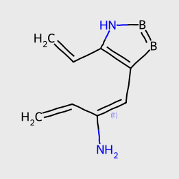 C=C/C(N)=C\c1bb[nH]c1C=C